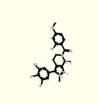 COc1ccc(C(=O)N2CCc3c(nn(C)c3-c3cc(F)c(F)c(F)c3)[C@@H]2C)c(F)c1